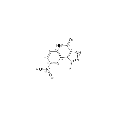 Cc1c[nH]c2c(=O)[nH]c3ccc([N+](=O)[O-])cc3c12